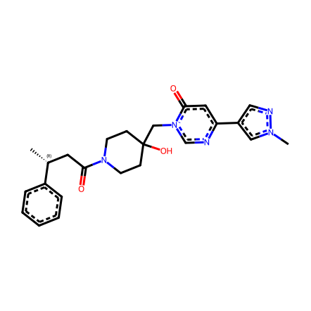 C[C@H](CC(=O)N1CCC(O)(Cn2cnc(-c3cnn(C)c3)cc2=O)CC1)c1ccccc1